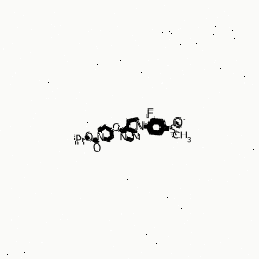 CC(C)OC(=O)N1CCC(Oc2ncnc3c2CCN3c2ccc([S@@+](C)[O-])cc2F)CC1